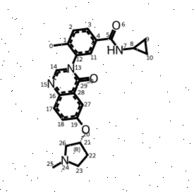 Cc1ccc(C(=O)NC2CC2)cc1-n1cnc2ccc(O[C@@H]3CCN(C)C3)cc2c1=O